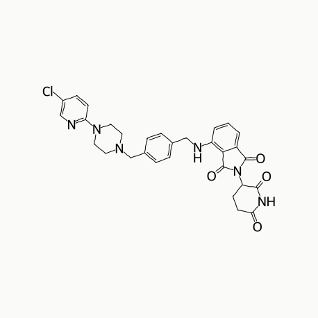 O=C1CCC(N2C(=O)c3cccc(NCc4ccc(CN5CCN(c6ccc(Cl)cn6)CC5)cc4)c3C2=O)C(=O)N1